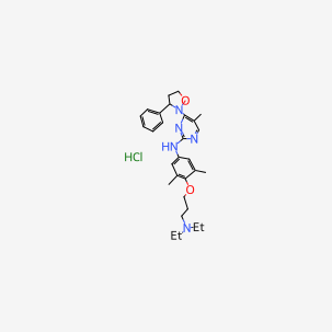 CCN(CC)CCCOc1c(C)cc(Nc2ncc(C)c(N3OCCC3c3ccccc3)n2)cc1C.Cl